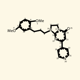 COc1ccc(OC)c(CCCN2CCn3c2nc(-c2ccncc2)cc3=O)c1